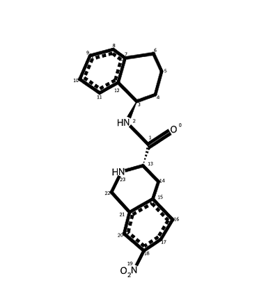 O=C(N[C@@H]1CCCc2ccccc21)[C@@H]1Cc2ccc([N+](=O)[O-])cc2CN1